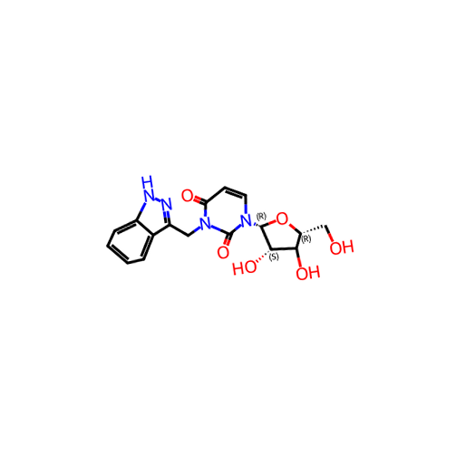 O=c1ccn([C@@H]2O[C@H](CO)C(O)[C@@H]2O)c(=O)n1Cc1n[nH]c2ccccc12